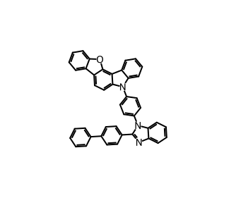 c1ccc(-c2ccc(-c3nc4ccccc4n3-c3ccc(-n4c5ccccc5c5c6oc7ccccc7c6ccc54)cc3)cc2)cc1